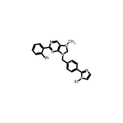 CCn1ccnc1-c1ccc(CN2CN(C)c3cnc(-c4ccccc4C(C)C)nc32)cc1